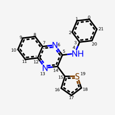 c1ccc(Nc2nc3ccccc3nc2-c2cccs2)cc1